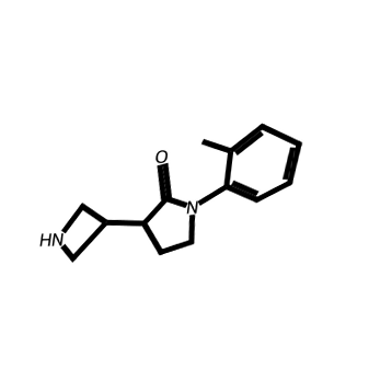 Cc1ccccc1N1CCC(C2CNC2)C1=O